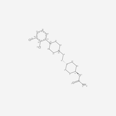 NC(=O)O[C@H]1CC[C@H](CCN2CCN(c3cccc(Cl)c3Cl)CC2)CC1